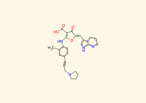 Cc1cc(C#CCN2CCCC2)ccc1NC1=C(C(=O)O)C(=O)/C(=C/c2c[nH]c3ncccc23)O1